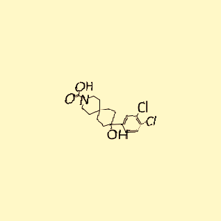 O=C(O)N1CCC2(CC1)CCC(O)(c1ccc(Cl)c(Cl)c1)CC2